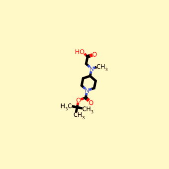 CN(CC(=O)O)C1CCN(C(=O)OC(C)(C)C)CC1